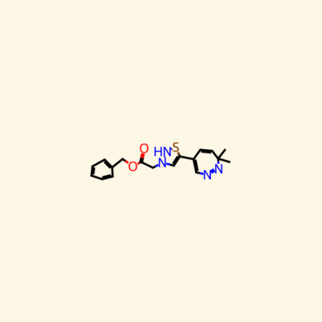 CC1(C)C=CC(C2=CN(CC(=O)OCc3ccccc3)NS2)=CN=N1